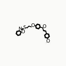 COc1ccc(C=CC(=O)c2ccc(OCCCSc3nc4ccccc4o3)cc2)cc1